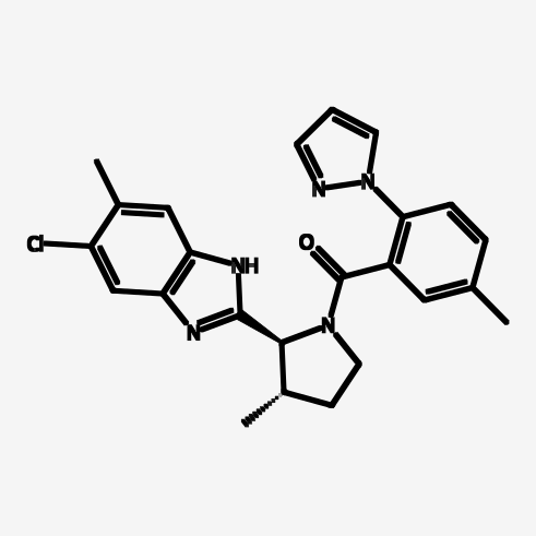 Cc1ccc(-n2cccn2)c(C(=O)N2CC[C@H](C)[C@H]2c2nc3cc(Cl)c(C)cc3[nH]2)c1